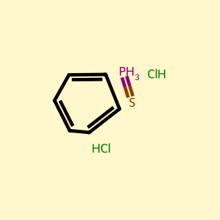 Cl.Cl.[PH3]=S.c1ccccc1